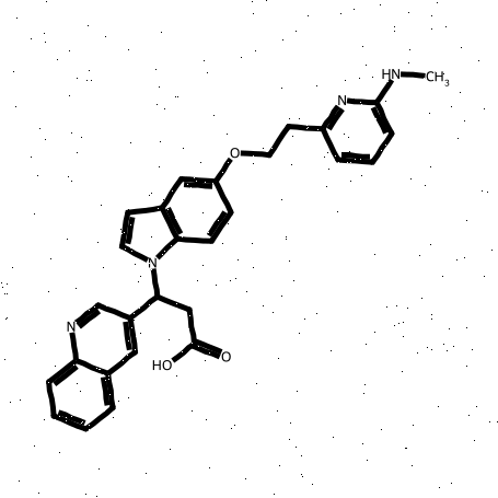 CNc1cccc(CCOc2ccc3c(ccn3C(CC(=O)O)c3cnc4ccccc4c3)c2)n1